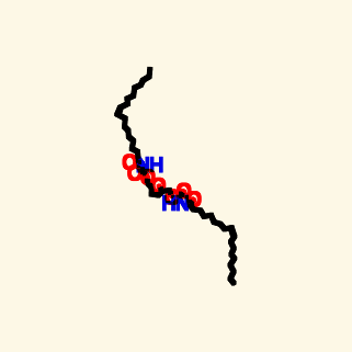 CCCCCCCC/C=C\CCCCCCCC(=O)NC(=O)OCC1CCC(COC(=O)NC(=O)CCCCCCC/C=C\CCCCCCCC)O1